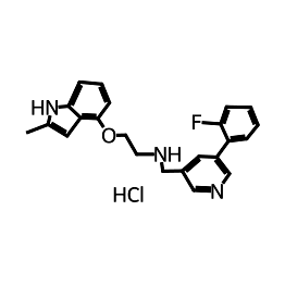 Cc1cc2c(OCCNCc3cncc(-c4ccccc4F)c3)cccc2[nH]1.Cl